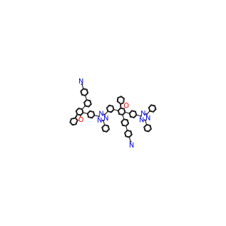 N#Cc1ccc(-c2ccc(-c3cc(-c4cccc(-c5nc(-c6ccccc6)nc(-c6ccc(-c7c(-c8cccc(-c9ccc(C#N)cc9)c8)ccc8c7oc7ccccc78)cc6)n5)c4)c4c(oc5ccccc54)c3-c3ccc(-c4nc(-c5ccccc5)nc(-c5ccccc5)n4)cc3)cc2)cc1